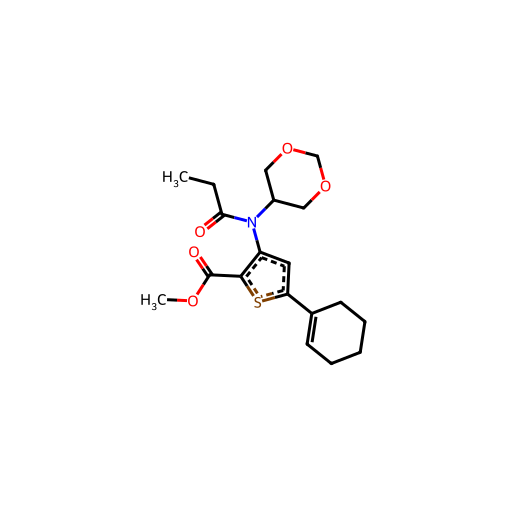 CCC(=O)N(c1cc(C2=CCCCC2)sc1C(=O)OC)C1COCOC1